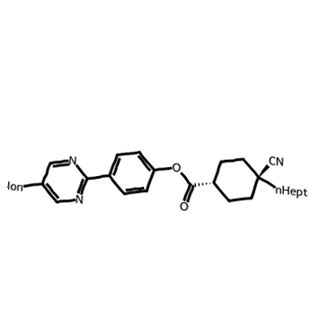 CCCCCCCCCc1cnc(-c2ccc(OC(=O)[C@H]3CC[C@@](C#N)(CCCCCCC)CC3)cc2)nc1